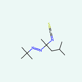 CC(C)CC(C)(N=C=S)N=NC(C)(C)C